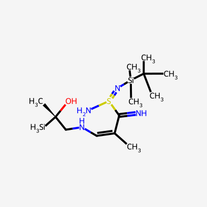 C/C(=C/NC[C@@](C)(O)[SiH3])C(=N)/S(N)=N\[Si](C)(C)C(C)(C)C